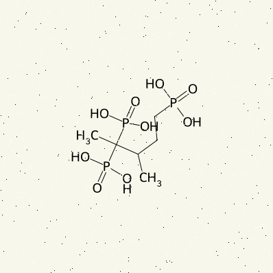 CC(CCP(=O)(O)O)C(C)(P(=O)(O)O)P(=O)(O)O